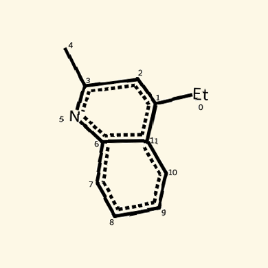 CCc1cc(C)nc2ccccc12